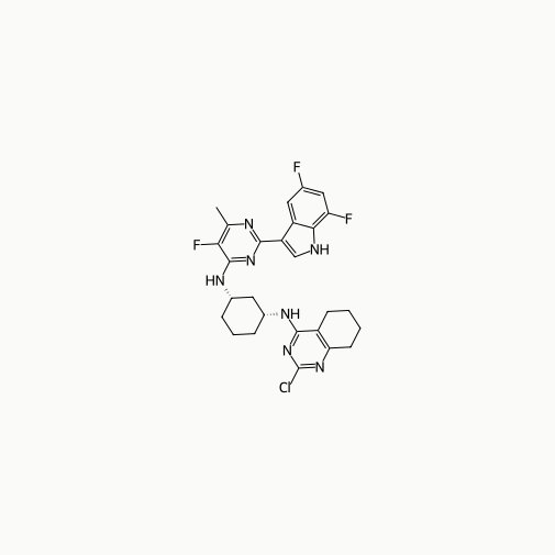 Cc1nc(-c2c[nH]c3c(F)cc(F)cc23)nc(N[C@H]2CCC[C@@H](Nc3nc(Cl)nc4c3CCCC4)C2)c1F